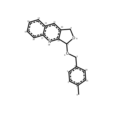 Cc1ccc(COC2OCc3cc4ccccc4nc32)cc1